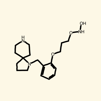 ONOCCCOc1ccccc1CN1CCCC12CCNCC2